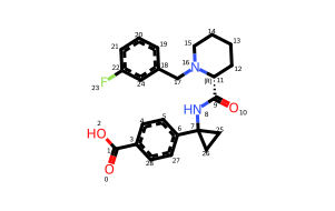 O=C(O)c1ccc(C2(NC(=O)[C@H]3CCCCN3Cc3cccc(F)c3)CC2)cc1